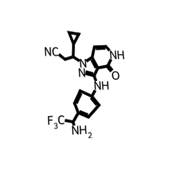 N#CCC(C1CC1)n1nc(Nc2ccc(C(N)C(F)(F)F)cc2)c2c(=O)[nH]ccc21